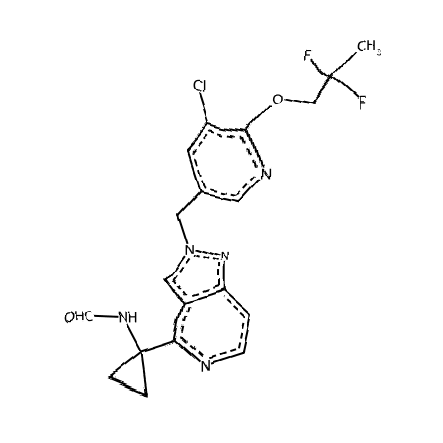 CC(F)(F)COc1ncc(Cn2cc3c(C4(NC=O)CC4)nccc3n2)cc1Cl